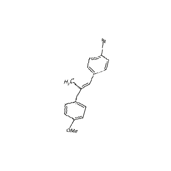 COc1ccc(/C(C)=C/c2ccc(Br)cc2)cc1